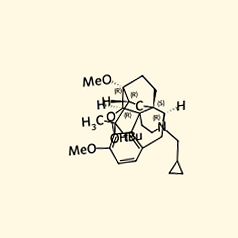 COc1ccc2c3c1O[C@@H]1C34CCN(CC3CC3)[C@H](C2)[C@]42CC[C@@]1(OC)[C@@H](C(C)(O)C(C)(C)C)C2